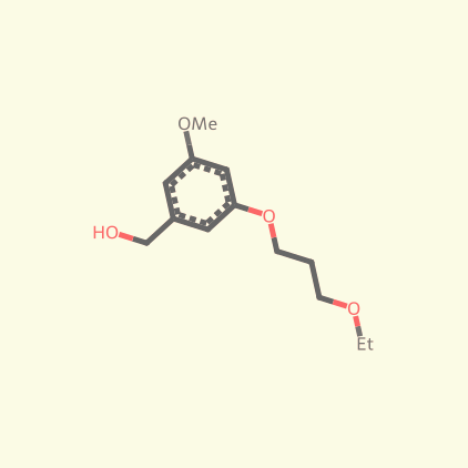 CCOCCCOc1cc(CO)cc(OC)c1